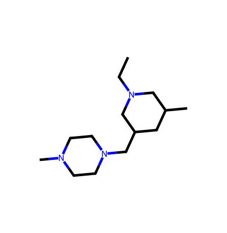 CCN1CC(C)CC(CN2CCN(C)CC2)C1